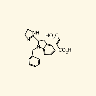 O=C(O)/C=C/C(=O)O.c1ccc(CN2c3ccccc3CC2C2=NCCN2)cc1